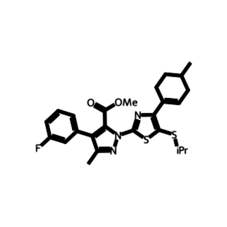 COC(=O)c1c(-c2cccc(F)c2)c(C)nn1-c1nc(C2=CCC(C)CC2)c(SC(C)C)s1